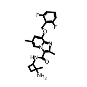 Cc1cc(OCc2c(F)cccc2F)c2nc(C)c(C(=O)NC3CCC3(C)N)n2c1